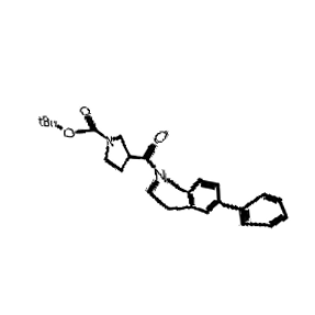 CC(C)(C)OC(=O)N1CCC(C(=O)N2CCc3cc(-c4ccccc4)ccc32)C1